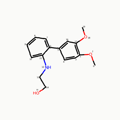 COc1ccc(-c2ccccc2NCCO)cc1OC